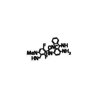 CNc1cc(F)c(C(=O)Nc2ccc(N)c(C(=N)c3ccccc3C#N)c2)c(F)c1C=N